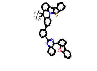 CC1(C)c2cc(-c3cccc(-c4nc(-c5cccc6c5oc5ccccc56)c5ccccc5n4)c3)ccc2-n2c3sc4ccccc4c3c3cccc1c32